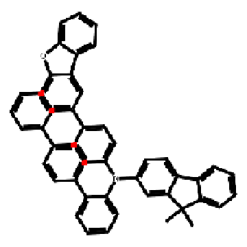 CC1(C)c2ccccc2-c2ccc(N(c3ccc(-c4ccc5oc6ccccc6c5c4)cc3)c3ccccc3-c3ccc(-c4ccccc4)cc3)cc21